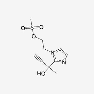 C#CC(C)(O)c1nccn1CCOS(C)(=O)=O